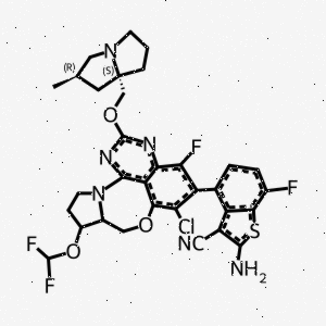 C[C@H]1CN2CCC[C@@]2(COc2nc3c4c(c(Cl)c(-c5ccc(F)c6sc(N)c(C#N)c56)c(F)c4n2)OCC2C(OC(F)F)CCN32)C1